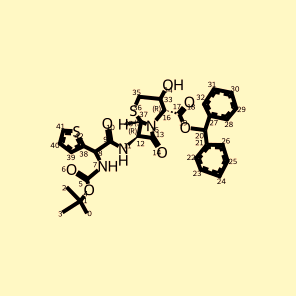 CC(C)(C)OC(=O)NC(C(=O)N[C@@H]1C(=O)N2[C@@H](C(=O)OC(c3ccccc3)c3ccccc3)C(O)CS[C@@H]12)c1cccs1